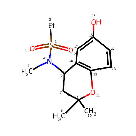 CCS(=O)(=O)N(C)C1CC(C)(C)Oc2ccc(O)cc21